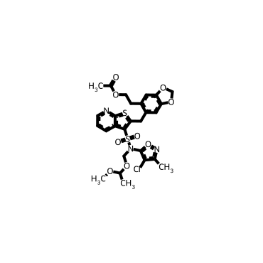 COC(C)OCN(c1onc(C)c1Cl)S(=O)(=O)c1c(Cc2cc3c(cc2CCOC(C)=O)OCO3)sc2ncccc12